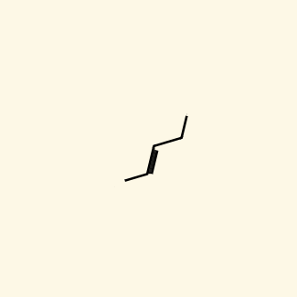 [Li][CH2]C=CC